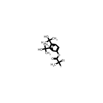 CCC(C)(I)C(=O)Oc1cc2oc1c(C(C)(C)O)c2C(C)(C)O